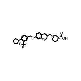 O=C(O)[C@@H]1CCCN(CC2=Cc3ccc(OCc4ccc(C5CCCC5)c(C(F)(F)F)c4)cc3OC2)C1